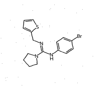 Brc1ccc(NC(=NCc2cccs2)N2CCCC2)cc1